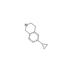 c1cc2c(cc1C1CC1)CC[N]C2